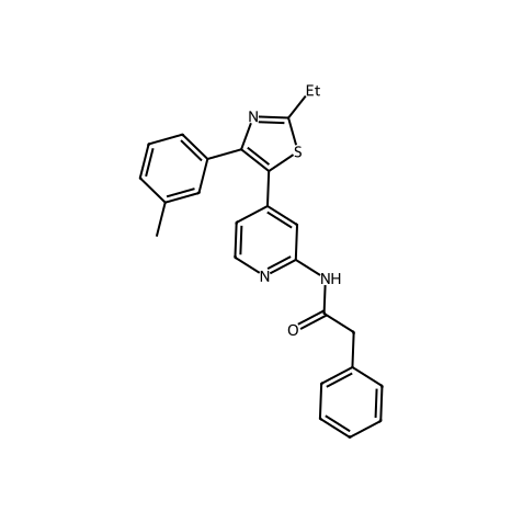 CCc1nc(-c2cccc(C)c2)c(-c2ccnc(NC(=O)Cc3ccccc3)c2)s1